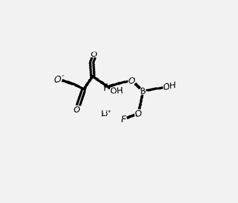 O=C([O-])C(=O)O.OB(OF)OF.[Li+]